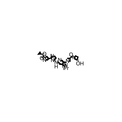 CC(C)n1nc(N2CC(C(=O)N3CC[C@H](CO)C3)C2)c2cnc(Nc3ccnc(-c4cnn(S(=O)(=O)C5CC5)c4)n3)cc21